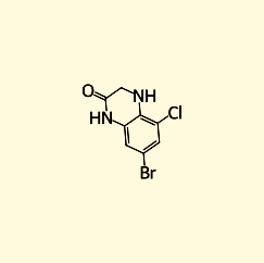 O=C1CNc2c(Cl)cc(Br)cc2N1